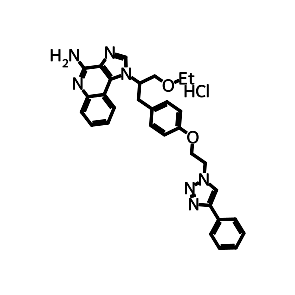 CCOCC(Cc1ccc(OCCn2cc(-c3ccccc3)nn2)cc1)n1cnc2c(N)nc3ccccc3c21.Cl